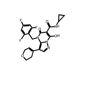 O=C(NC1CC1)c1c(O)n2ncc(C3=CCOCC3)c2n(Cc2c(F)cc(F)cc2F)c1=O